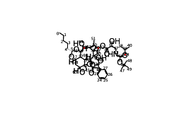 CCCCC[C@H]1O[C@H]2C[C@H]3OC[C@@]3(OC(C)=O)[C@H]3[C@H](OC(=O)c4ccccc4)[C@]4(O)C[C@H](OC(=O)[C@H](O)[C@H](CC(C)C)NC(=O)OC(C)(C)C)C(C)=C([C@@H](O)[C@H](O1)[C@]23C)C4(C)C